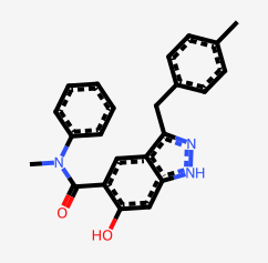 Cc1ccc(Cc2n[nH]c3cc(O)c(C(=O)N(C)c4ccccc4)cc23)cc1